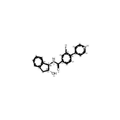 O=C(N[C@@H]1c2ccccc2C[C@H]1O)c1ccc(-c2ccncc2)c(F)c1